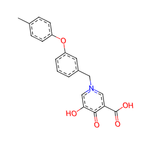 Cc1ccc(Oc2cccc(Cn3cc(O)c(=O)c(C(=O)O)c3)c2)cc1